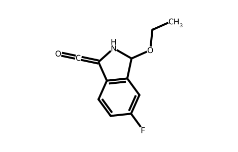 CCOC1NC(=C=O)c2ccc(F)cc21